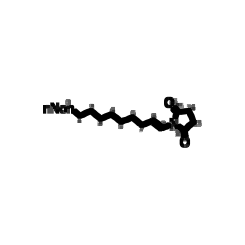 CCCCCCCCCCCCCCCCC=CN1C(=O)CCC1=O